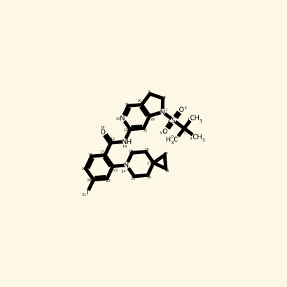 CC(C)(C)S(=O)(=O)N1CCc2cnc(NC(=O)c3ccc(I)cc3N3CCC4(CC3)CC4)cc21